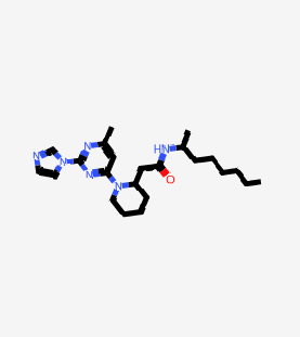 CCCCCCC(C)NC(=O)CC1CCCCN1c1cc(C)nc(-n2ccnc2)n1